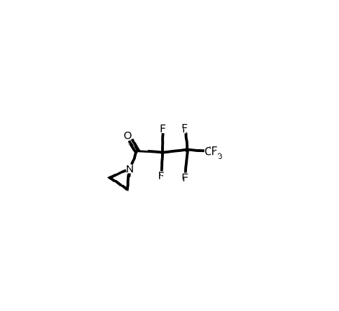 O=C(N1CC1)C(F)(F)C(F)(F)C(F)(F)F